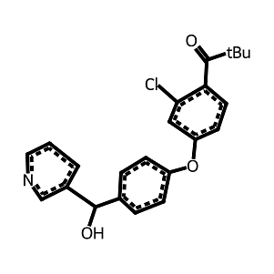 CC(C)(C)C(=O)c1ccc(Oc2ccc(C(O)c3cccnc3)cc2)cc1Cl